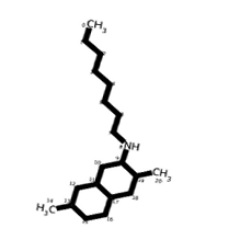 CCCCCCCCNC1CC2CC(C)CCC2CC1C